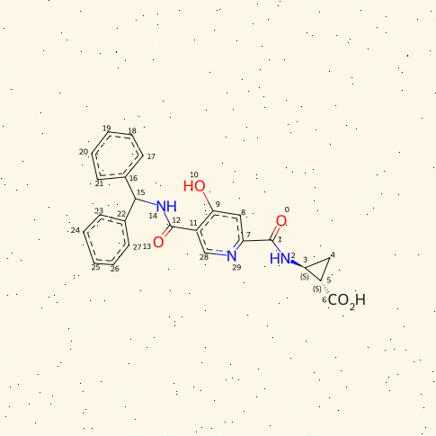 O=C(N[C@H]1C[C@@H]1C(=O)O)c1cc(O)c(C(=O)NC(c2ccccc2)c2ccccc2)cn1